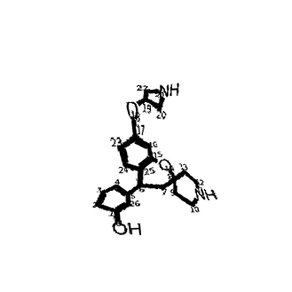 Oc1cccc(C2CC3(CCNCC3)Oc3cc(OC4CNC4)ccc32)c1